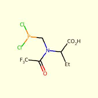 CCC(C(=O)O)N(CP(Cl)Cl)C(=O)C(F)(F)F